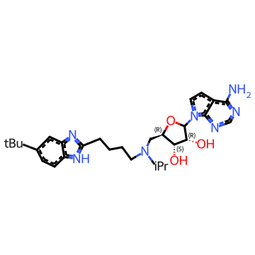 CC(C)N(CCCCc1nc2cc(C(C)(C)C)ccc2[nH]1)C[C@H]1OC(n2ccc3c(N)ncnc32)[C@H](O)[C@@H]1O